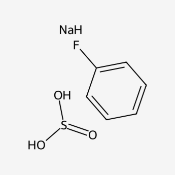 Fc1ccccc1.O=S(O)O.[NaH]